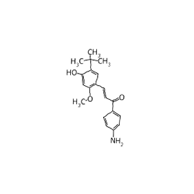 COc1cc(O)c(C(C)(C)C)cc1C=CC(=O)c1ccc(N)cc1